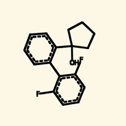 OC1(c2ccccc2-c2c(F)cccc2F)CCCC1